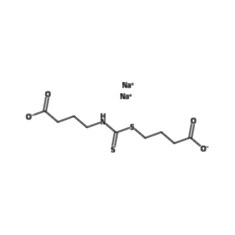 O=C([O-])CCCNC(=S)SCCCC(=O)[O-].[Na+].[Na+]